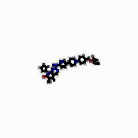 CC(=O)c1c(C)c2cnc(Nc3ccc(C4CCN(C5CCC(CO[Si](C)(C)C(C)(C)C)CC5)CC4)cn3)nc2n(C2CCCC2)c1=O